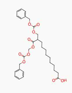 O=C(O)CCCCCCCCCC(COC(=O)OCc1ccccc1)C(=O)OCOC(=O)OCc1ccccc1